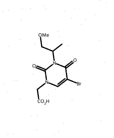 COCC(C)n1c(=O)c(Br)cn(CC(=O)O)c1=O